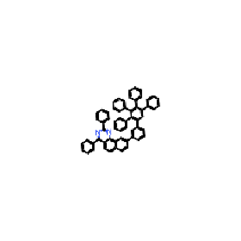 c1ccc(-c2nc(-c3ccccc3)c3ccc4ccc(-c5cccc(-c6cc(-c7ccccc7)c(-c7ccccc7)c(-c7ccccc7)c6-c6ccccc6)c5)cc4c3n2)cc1